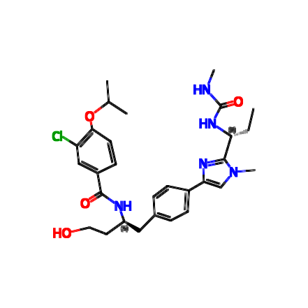 CC[C@@H](NC(=O)NC)c1nc(-c2ccc(C[C@@H](CCO)NC(=O)c3ccc(OC(C)C)c(Cl)c3)cc2)cn1C